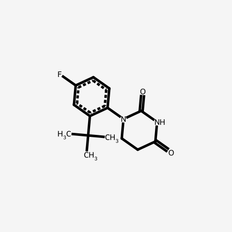 CC(C)(C)c1cc(F)ccc1N1CCC(=O)NC1=O